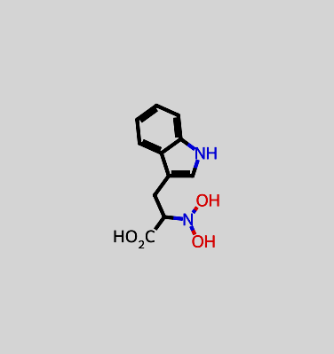 O=C(O)C(Cc1c[nH]c2ccccc12)N(O)O